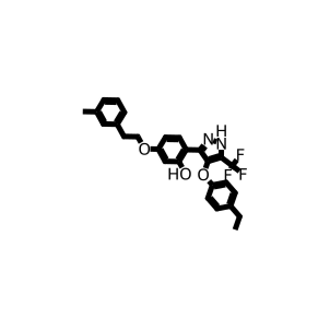 CCc1ccc(Oc2c(-c3ccc(OCCc4cccc(C)c4)cc3O)n[nH]c2C(F)(F)F)cc1